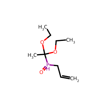 C=CC[PH](=O)C(C)(OCC)OCC